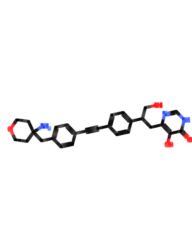 NC1(Cc2ccc(C#Cc3ccc(C(CO)Cc4nc[nH]c(=O)c4O)cc3)cc2)CCOCC1